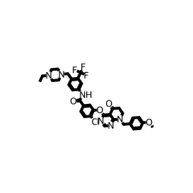 CCN1CCN(Cc2ccc(NC(=O)c3ccc(Cl)c(Oc4ncnc5c4C(=O)CCN5Cc4ccc(OC)cc4)c3)cc2C(F)(F)F)CC1